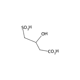 O=C(O)CC(O)CS(=O)(=O)O